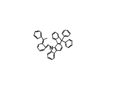 C/C(c1ccccc1)=c1/cccc/c1=C\n1c2ccccc2c2ccc3c(c21)-c1ccccc1C3(c1ccccc1)c1ccccc1